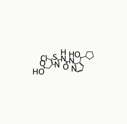 O=C(O)Cc1nc(NC(=O)Nc2ncccc2C(=O)C2CCCC2)sc1Cl